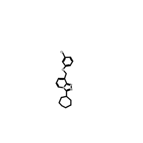 Clc1cccc(OCc2cccn3c(C4CCCCCC4)nnc23)c1